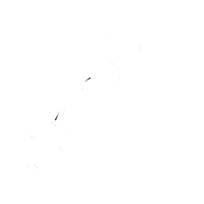 CCOC(=O)[C@H](C)N[P@](=O)(OC[C@H]1S[C@@H](n2cnc(N)nc2=O)CC1O)Oc1ccccc1